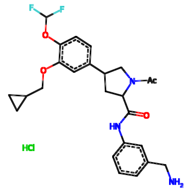 CC(=O)N1CC(c2ccc(OC(F)F)c(OCC3CC3)c2)CC1C(=O)Nc1cccc(CN)c1.Cl